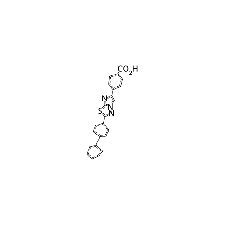 O=C(O)c1ccc(-c2cn3nc(-c4ccc(-c5ccccc5)cc4)sc3n2)cc1